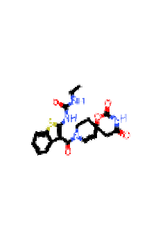 CCNC(=O)Nc1sc2ccccc2c1C(=O)N1CCC2(CC1)CC(=O)NC(=O)O2